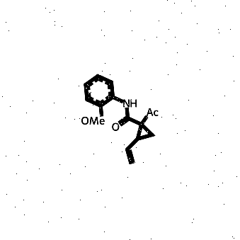 C=CC1CC1(C(C)=O)C(=O)Nc1ccccc1OC